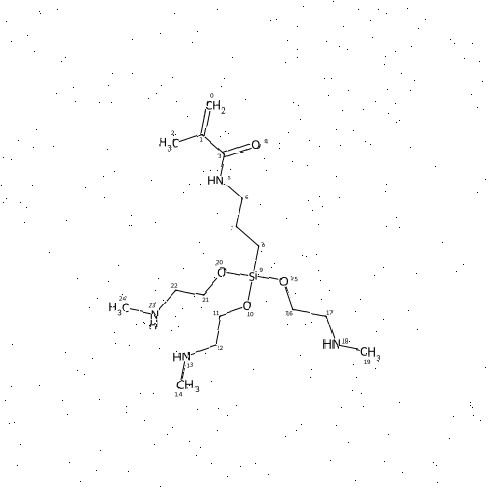 C=C(C)C(=O)NCCC[Si](OCCNC)(OCCNC)OCCNC